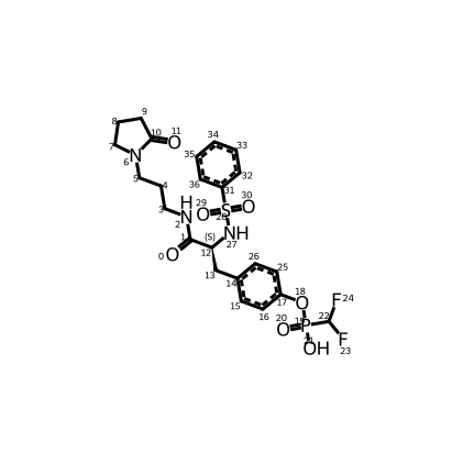 O=C(NCCCN1CCCC1=O)[C@H](Cc1ccc(OP(=O)(O)C(F)F)cc1)NS(=O)(=O)c1ccccc1